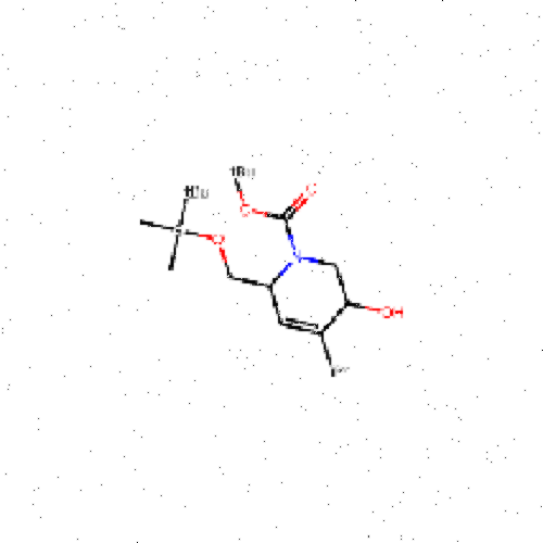 CC(C)C1=CC(CO[Si](C)(C)C(C)(C)C)N(C(=O)OC(C)(C)C)CC1O